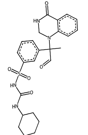 CC(C=O)(c1cccc(S(=O)(=O)NC(=O)NC2CCCCC2)c1)N1CNC(=O)c2ccccc21